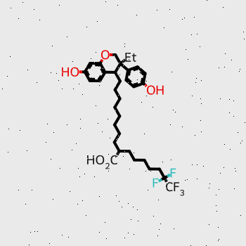 CCC1(c2ccc(O)cc2)COc2cc(O)ccc2C1CCCCCCCCC(CCCCCC(F)(F)C(F)(F)F)C(=O)O